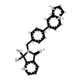 [2H]C1([2H])c2ncccc2C(=O)N1Cc1ccc(-c2ccn3ccnc3c2)cc1